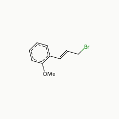 COc1ccccc1C=CCBr